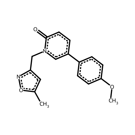 COc1ccc(-c2ccc(=O)n(Cc3cc(C)on3)c2)cc1